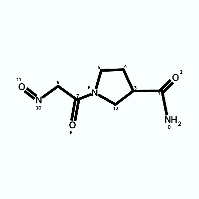 NC(=O)C1CCN(C(=O)CN=O)C1